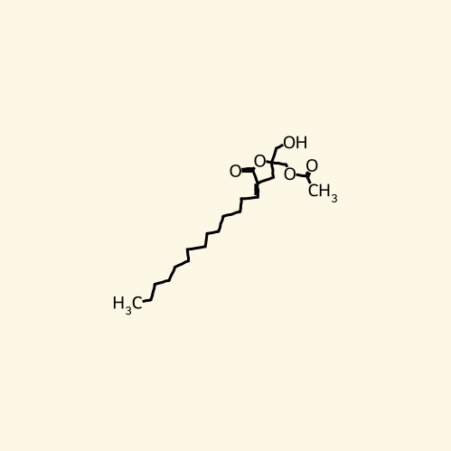 CCCCCCCCCCCCCC=C1CC(CO)(COC(C)=O)OC1=O